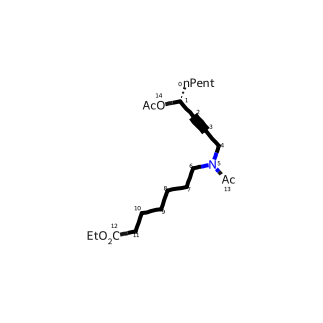 CCCCC[C@H](C#CCN(CCCCCCC(=O)OCC)C(C)=O)OC(C)=O